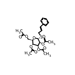 CC(=O)OC[C@H]1O[C@H](SCC=Cc2ccccc2)[C@@H](OC(C)=O)[C@@H](OC(C)=O)[C@@H]1OC(C)=O